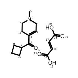 CN1CC=C(C(=O)C2CCC2)CC1.O=C(O)C=CC(=O)O